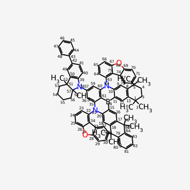 CC1(C)CCC(C)(C)c2cc3c(cc21)B1c2cc4c(cc2N(c2cccc5oc6ccccc6c25)c2cc(N5c6ccc(-c7ccccc7)cc6C6(C)CCCCC56C)cc(c21)N3c1cccc2oc3ccccc3c12)C(C)(C)c1ccccc1C4(C)C